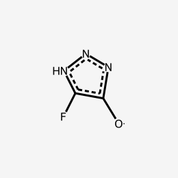 [O]c1nn[nH]c1F